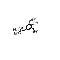 CCOP(C)(=O)Cc1cc(CC(C)C)c(O)c(CC(C)C)c1